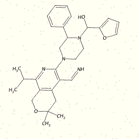 CC(C)c1nc(N2CCN(C(O)c3ccco3)C(c3ccccc3)C2)c(C=N)c2c1COC(C)(C)C2